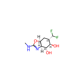 CNC1=N[C@@H]2[C@@H](O)[C@H](O)[C@@H](C(F)F)C[C@@H]2O1